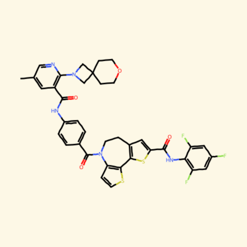 Cc1cnc(N2CC3(CCOCC3)C2)c(C(=O)Nc2ccc(C(=O)N3CCc4cc(C(=O)Nc5c(F)cc(F)cc5F)sc4-c4sccc43)cc2)c1